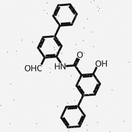 O=Cc1ccc(-c2ccccc2)cc1NC(=O)c1cc(-c2ccccc2)ccc1O